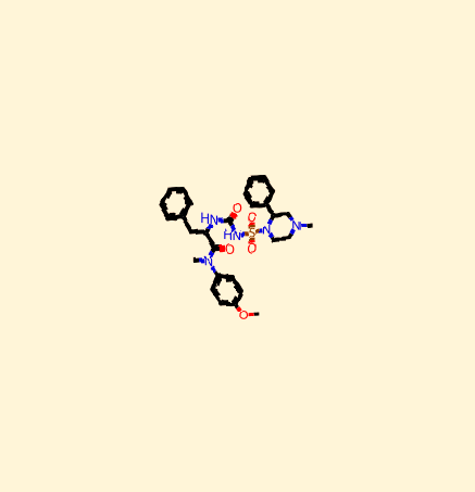 COc1ccc(N(C)C(=O)C(Cc2ccccc2)NC(=O)NS(=O)(=O)N2CCN(C)CC2c2ccccc2)cc1